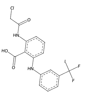 O=C(CCl)Nc1cccc(Nc2cccc(C(F)(F)I)c2)c1C(=O)O